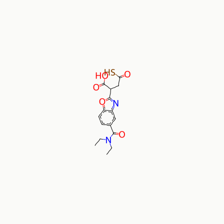 CCN(CC)C(=O)c1ccc2oc(C(CC(=O)S)C(=O)O)nc2c1